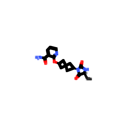 CCCC[C@@H]1NC(=O)N([C@H]2CC3(C[C@H](Oc4ncccc4C(N)=O)C3)C2)C1=O